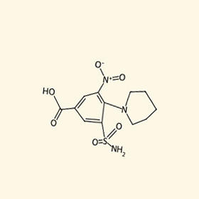 NS(=O)(=O)c1cc(C(=O)O)cc([N+](=O)[O-])c1N1CCCCC1